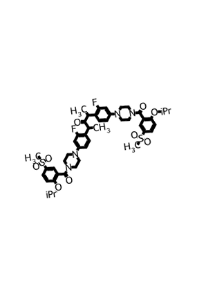 CC(C)Oc1ccc(S(C)(=O)=O)cc1C(=O)N1CCN(c2ccc(C(C)C(=O)C(C)c3ccc(N4CCN(C(=O)c5cc(S(C)(=O)=O)ccc5OC(C)C)CC4)cc3F)c(F)c2)CC1